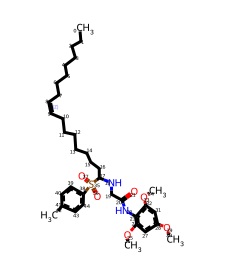 CCCCCCCC/C=C\CCCCCCCC(NCC(=O)Nc1c(OC)cc(OC)cc1OC)S(=O)(=O)c1ccc(C)cc1